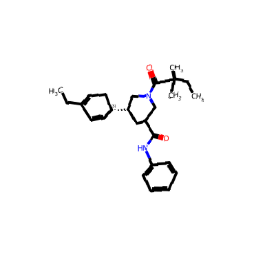 CCC1=CC[C@H](C2CC(C(=O)Nc3ccccc3)CN(C(=O)C(C)(C)CC)C2)C=C1